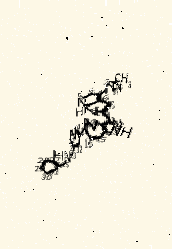 Cc1cn(-c2ccnc3[nH]c(-c4n[nH]c5ccc(-c6cncc(CNCc7ccccc7)c6)nc45)cc23)cn1